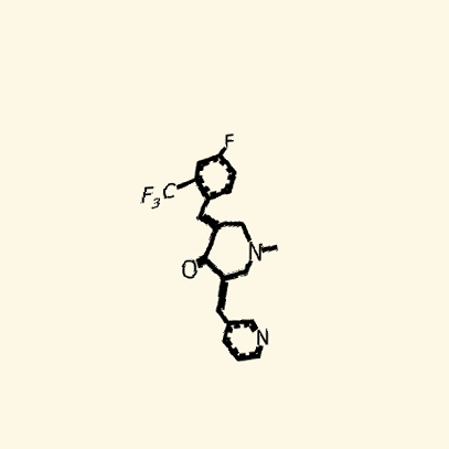 CN1C/C(=C\c2cccnc2)C(=O)/C(=C/c2ccc(F)cc2C(F)(F)F)C1